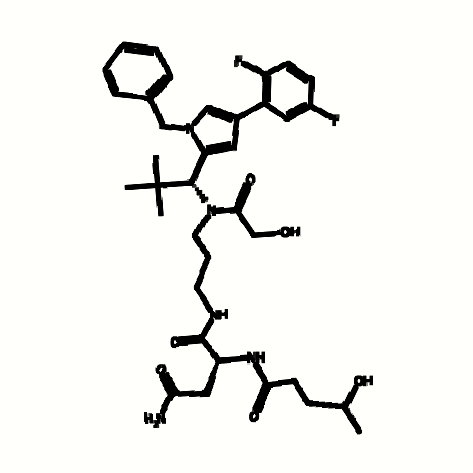 CC(O)CCC(=O)N[C@@H](CC(N)=O)C(=O)NCCCN(C(=O)CO)[C@@H](c1cc(-c2cc(F)ccc2F)cn1Cc1ccccc1)C(C)(C)C